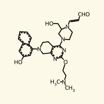 CN(C)CCOc1nc2c(c(N3CCN(C=CC=O)C(CO)C3)n1)CCN(c1cc(O)cc3ccccc13)C2